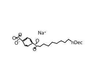 CCCCCCCCCCCCCCCCCCS(=O)(=O)c1ccc(S(=O)(=O)[O-])cc1.[Na+]